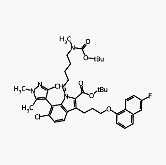 Cc1nn(C)c(C)c1-c1c(Cl)ccc2c(CCCOc3cccc4cc(F)ccc34)c(C(=O)OC(C)(C)C)n(CCCCCN(C)C(=O)OC(C)(C)C)c12